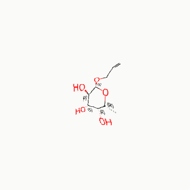 C=CCO[C@H]1O[C@H](C)[C@H](O)[C@H](O)[C@H]1O